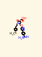 CSc1ccc(CCCN2C(=O)[C@H](CC(=O)O)C[C@H]2COc2ccc(-c3ccc(C(=N)N)cc3)nn2)cc1